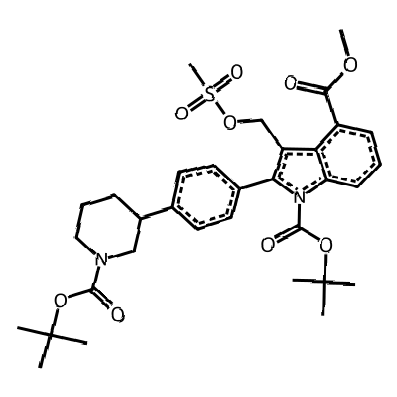 COC(=O)c1cccc2c1c(COS(C)(=O)=O)c(-c1ccc(C3CCCN(C(=O)OC(C)(C)C)C3)cc1)n2C(=O)OC(C)(C)C